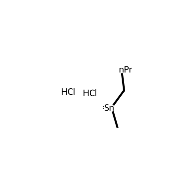 CCC[CH2][Sn][CH3].Cl.Cl